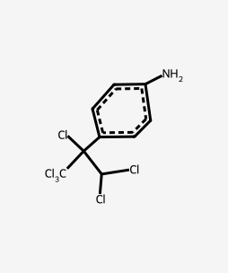 Nc1ccc(C(Cl)(C(Cl)Cl)C(Cl)(Cl)Cl)cc1